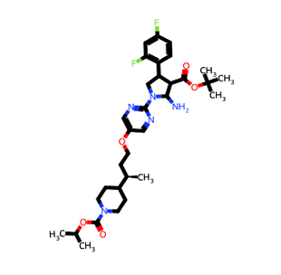 CC(C)OC(=O)N1CCC([C@H](C)CCOc2cnc(N3CC(c4ccc(F)cc4F)C(C(=O)OC(C)(C)C)C3N)nc2)CC1